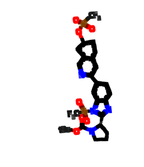 CC(C)(C)OC(=O)N1CCC[C@H]1c1nc2ccc(-c3cc4ccc(OS(=O)(=O)C(F)(F)F)cc4cn3)cc2n1S(=O)(=O)C(F)(F)F